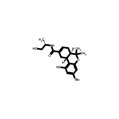 C[C@@H](CO)NC(=O)C1=CC[C@@H]2[C@@H](C1)c1c(O)cc(C(C)(C)C)cc1OC2(C)C